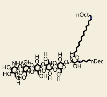 CCCCCCCC/C=C\CCCCCCCCCCCCCC(=O)N[C@@H](CO[C@@H]1OC(CO)[C@@H](O[C@@H]2OC(CO)[C@H](O[C@@H]3OC(CO)[C@H](O)[C@H](O[C@H]4OC(CO)[C@H](O)[C@H](O[C@@H]5OC(CO)[C@H](O)[C@H](O)C5NC(C)=O)C4O)C3O)[C@H](O)C2O)[C@H](O)C1O)[C@H](O)/C=C/CCCCCCCCCCCCC